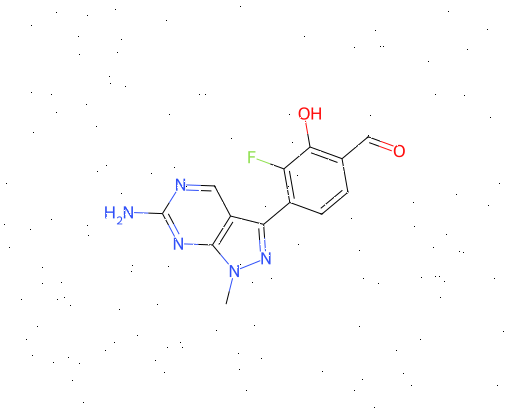 Cn1nc(-c2ccc(C=O)c(O)c2F)c2cnc(N)nc21